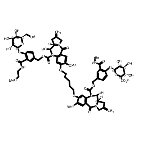 C=C1C[C@H]2C(O)N(C(=O)OCc3ccc(O[C@@H]4O[C@H](C(=O)O)[C@@H](O)[C@H](O)[C@H]4O)c(C(=O)NC(C)(C)C)c3)c3cc(OCCCCCOc4cc5c(cc4OC)C(=O)N4CC(=C)C[C@H]4C(O)N5C(=O)OCc4ccc(O[C@@H]5O[C@H](CO)[C@H](O)[C@H](O)[C@H]5O)c(C(=O)NCCOC)c4)c(OC)cc3C(=O)N2C1